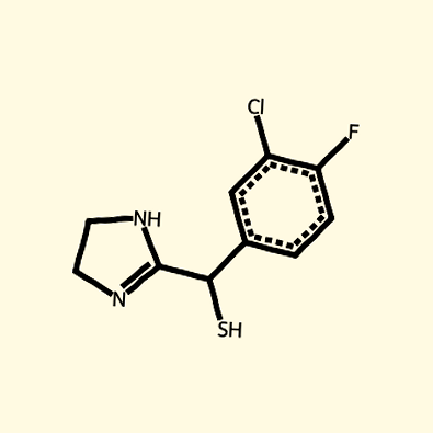 Fc1ccc(C(S)C2=NCCN2)cc1Cl